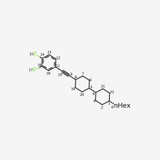 CCCCCCC1CCC(C2CCC(C#Cc3ccc(F)c(F)c3)CC2)CC1